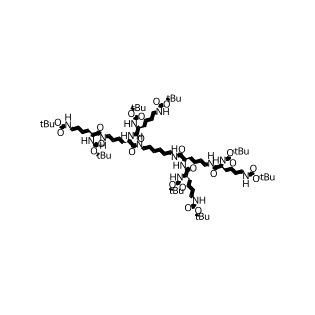 CC(C)(C)OC(=O)NCCCC[C@H](NC(=O)OC(C)(C)C)C(=O)NCCCC[C@H](NC(=O)[C@H](CCCCNC(=O)OC(C)(C)C)NC(=O)OC(C)(C)C)C(=O)NCCCCCCNC(=O)[C@@H](CCCCNC(=O)[C@H](CCCCNC(=O)OC(C)(C)C)NC(=O)OC(C)(C)C)NC(=O)[C@H](CCCCNC(=O)OC(C)(C)C)NC(=O)OC(C)(C)C